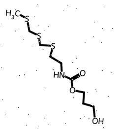 CSCSCSCCNC(=O)OCCCO